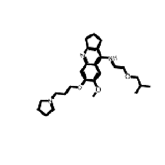 COc1cc2c(NCCOCC(C)C)c3c(nc2cc1OCCCN1CCCC1)CCC3